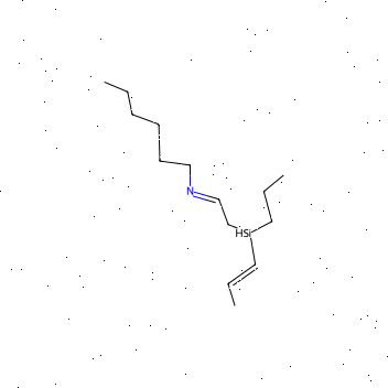 CC=C[SiH](CC=NCCCCCC)CCC